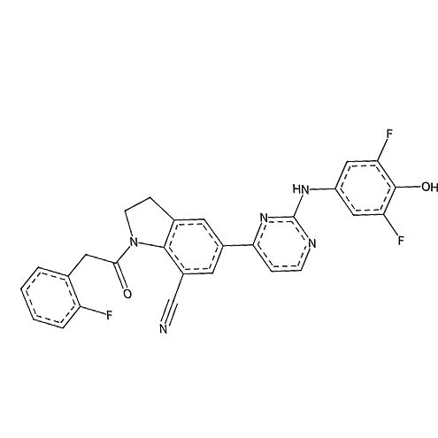 N#Cc1cc(-c2ccnc(Nc3cc(F)c(O)c(F)c3)n2)cc2c1N(C(=O)Cc1ccccc1F)CC2